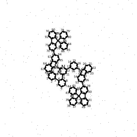 c1ccc(-c2ccccc2-c2cc(-c3cccc(-n4c5ccccc5c5cc(-c6ccc7c(c6)C(c6ccccc6)(c6ccccc6)c6ccccc6-7)ccc54)c3)nc(-n3c4ccccc4c4cc(-c5ccc6c(c5)C(c5ccccc5)(c5ccccc5)c5ccccc5-6)ccc43)n2)cc1